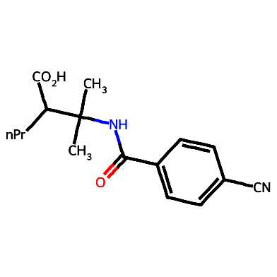 CCCC(C(=O)O)C(C)(C)NC(=O)c1ccc(C#N)cc1